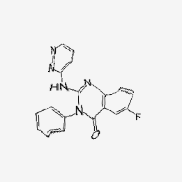 O=c1c2cc(F)ccc2nc(Nc2cccnn2)n1-c1ccccc1